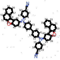 N#Cc1ccc(N(c2ccc(-c3ccc(N(c4ccc(C#N)cc4)c4ccc5oc6ccc7ccccc7c6c5c4)cc3)cc2)c2ccc3oc4ccc5ccccc5c4c3c2)cc1